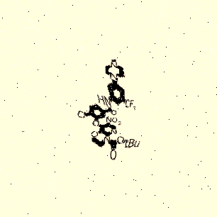 CN1CCN(c2cc(NC(=O)c3ccc(Cl)c(Oc4c([N+](=O)[O-])cnc5c4OCCN5C(=O)OC(C)(C)C)c3)cc(C(F)(F)F)c2)CC1